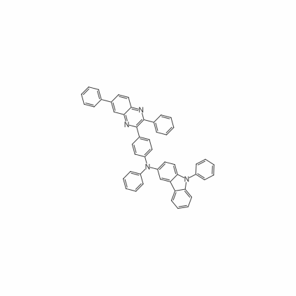 c1ccc(-c2ccc3nc(-c4ccccc4)c(-c4ccc(N(c5ccccc5)c5ccc6c(c5)c5ccccc5n6-c5ccccc5)cc4)nc3c2)cc1